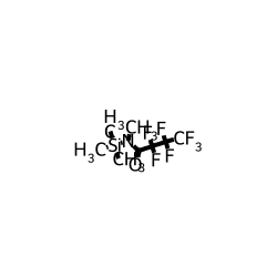 CN(C(=O)C(F)(F)C(F)(F)C(F)(F)F)[Si](C)(C)C